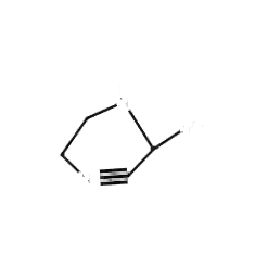 CCC[C]1C#[N+]CCN1